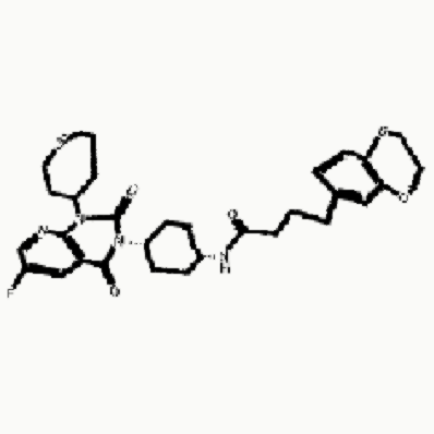 O=C(CCCc1ccc2c(c1)OCCO2)N[C@H]1CC[C@@H](n2c(=O)c3cc(F)cnc3n(C3CCSCC3)c2=O)CC1